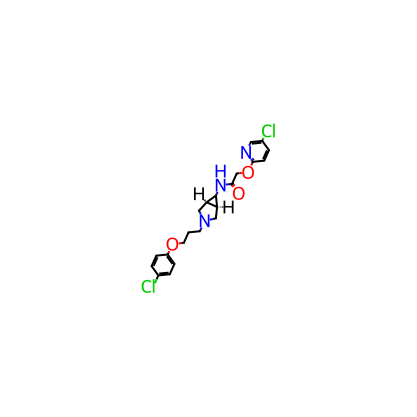 O=C(COc1ccc(Cl)cn1)NC1[C@H]2CN(CCCOc3ccc(Cl)cc3)C[C@@H]12